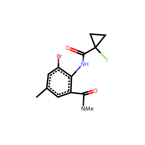 CNC(=O)c1cc(C)cc(Br)c1NC(=O)C1(F)CC1